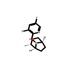 C[C@@H]1NC[C@H]2CC[C@@H]1N2Cc1ncc(F)cc1F